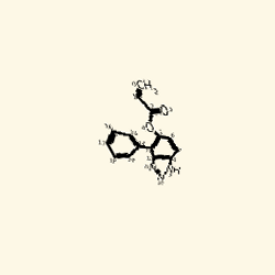 C=CC(=O)Oc1ccc2[nH]nnc2c1-c1ccccc1